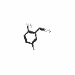 C=Cc1cc(F)ccc1N